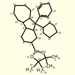 CC1(C)OB(C2CCC3C4CCCCCC4C(C4=CCCC=C4)(C4CCCCC4)C3C2)OC1(C)C